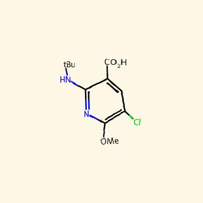 COc1nc(NC(C)(C)C)c(C(=O)O)cc1Cl